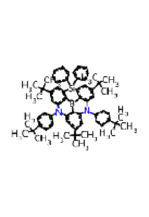 CC(C)(C)c1ccc(N2c3cc(C(C)(C)C)cc4c3B3c5c2cc(C(C)(C)C)cc5[Si](c2ccccc2)(c2ccccc2)c2cc(C(C)(C)C)cc(c23)N4c2ccc(C(C)(C)C)cc2)cc1